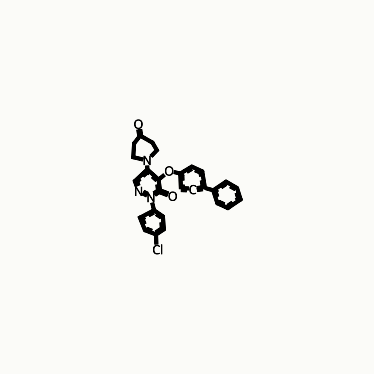 O=C1CCN(c2cnn(-c3ccc(Cl)cc3)c(=O)c2Oc2ccc(-c3ccccc3)cc2)CC1